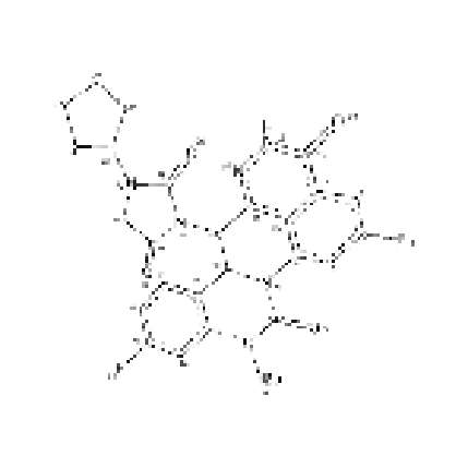 CC(C)(C)OC(=O)N1c2cc(F)cc3c(=O)[nH]nc(c23)C(N2C(=O)CN(C3CCCC3)C2=O)C1c1ccc(F)cc1